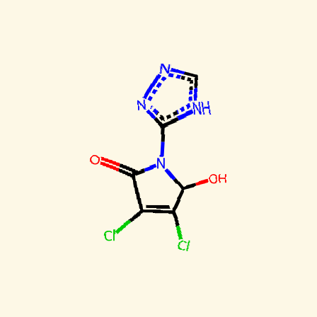 O=C1C(Cl)=C(Cl)C(O)N1c1nnc[nH]1